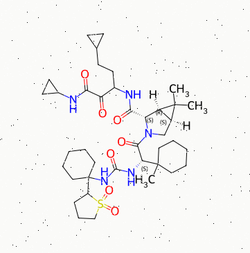 CC1([C@H](NC(=O)NC2(C3CCCS3(=O)=O)CCCCC2)C(=O)N2C[C@H]3[C@@H]([C@H]2C(=O)NC(CCC2CC2)C(=O)C(=O)NC2CC2)C3(C)C)CCCCC1